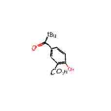 CC(C)(C)C(=O)c1ccc(O)c(C(=O)O)c1